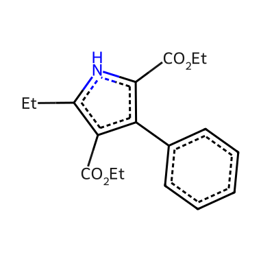 CCOC(=O)c1[nH]c(CC)c(C(=O)OCC)c1-c1ccccc1